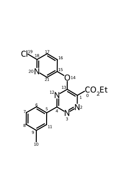 CCOC(=O)c1nnc(-c2cccc(C)c2)nc1Oc1ccc(Cl)nc1